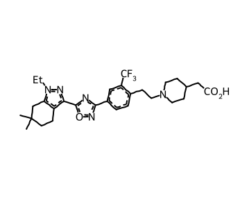 CCn1nc(-c2nc(-c3ccc(CCN4CCC(CC(=O)O)CC4)c(C(F)(F)F)c3)no2)c2c1CC(C)(C)CC2